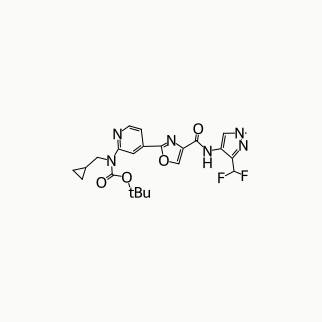 CC(C)(C)OC(=O)N(CC1CC1)c1cc(-c2nc(C(=O)NC3=C[N]N=C3C(F)F)co2)ccn1